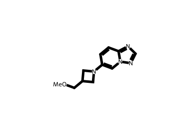 COCC1CN(c2ccc3ncnn3c2)C1